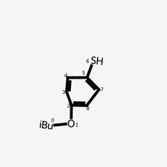 CCC(C)Oc1ccc(S)cc1